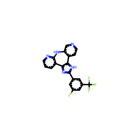 Fc1cc(-c2nc3c([nH]2)-c2ccncc2Nc2ncccc2-3)cc(C(F)(F)F)c1